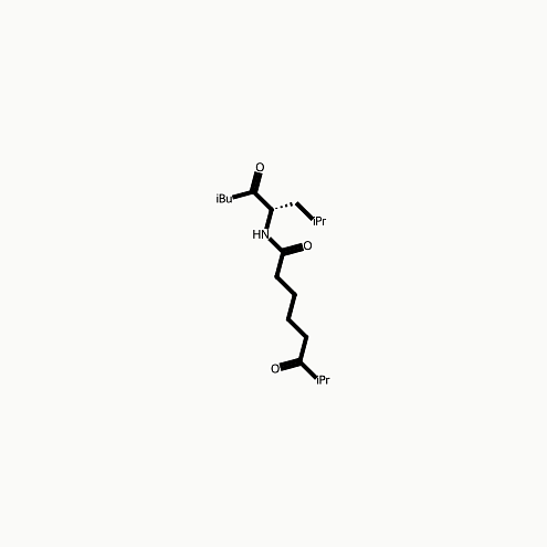 CCC(C)C(=O)[C@H](CC(C)C)NC(=O)CCCCC(=O)C(C)C